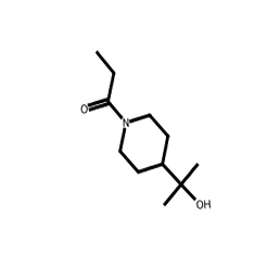 CCC(=O)N1CCC(C(C)(C)O)CC1